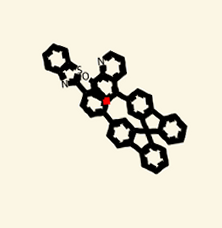 Oc1ccc(-c2ccc3c(c2)C2(c4ccccc4-c4ccc(-c5ccc(-c6nc7ccccc7s6)cc5)cc42)c2ccccc2-3)c2cccnc12